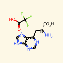 N[C@H](Cc1ncnc2[nH]cnc12)C(=O)O.O=C(O)C(F)(F)F